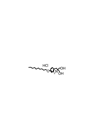 CCCCCCCCCCOc1ccc(CC(N)(CO)CO)cc1.Cl